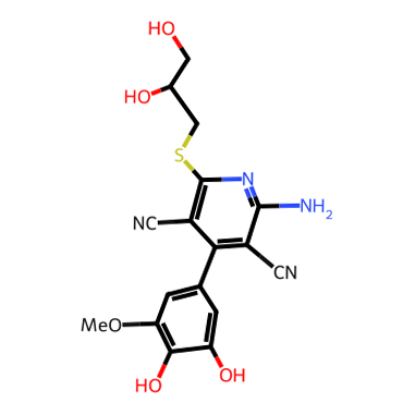 COc1cc(-c2c(C#N)c(N)nc(SCC(O)CO)c2C#N)cc(O)c1O